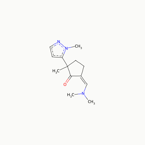 CN(C)C=C1CCC(C)(c2ccnn2C)C1=O